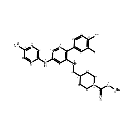 Cc1cc(-c2nnc(Nc3cnc(C#N)cn3)cc2NCC2CCN(C(=O)OC(C)(C)C)CC2)ccc1F